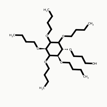 CCCCOC1C(OCCCC)[C@H](OCCCO)[C@@H](OCCCC)C(OCCCC)[C@H]1OCCCC